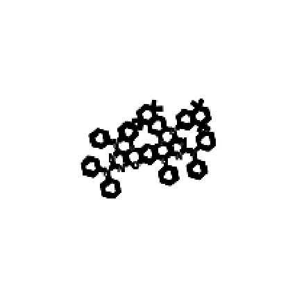 CC1(C)CCC(C)(C)c2cc(N3c4cc5c(cc4B4c6cc7c(cc6N(c6ccccc6)c6nc(N(c8ccccc8)c8ccccc8)nc3c64)Oc3nc(N(c4ccccc4)c4ccccc4)nc4c3B7c3ccccc3N4c3ccccc3)C(C)(C)CCC5(C)C)ccc21